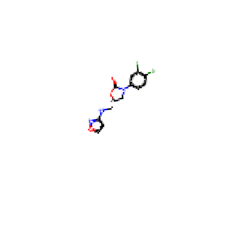 O=C1O[C@@H](CNc2ccon2)CN1c1ccc(Br)c(F)c1